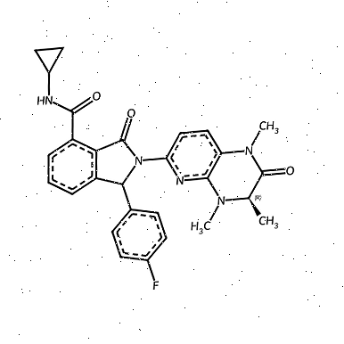 C[C@@H]1C(=O)N(C)c2ccc(N3C(=O)c4c(C(=O)NC5CC5)cccc4C3c3ccc(F)cc3)nc2N1C